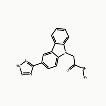 CC(C)NC(=O)Cn1c2ccccc2c2cc(-c3nn[nH]n3)ccc21